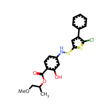 COCC(C)OC(=O)c1ccc(NSc2cc(-c3ccccc3)c(Cl)s2)cc1O